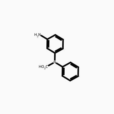 Nc1cccc(N(C(=O)O)c2cc[c]cc2)c1